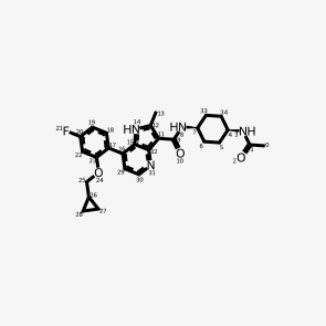 CC(=O)N[C@H]1CC[C@@H](NC(=O)c2c(C)[nH]c3c(-c4ccc(F)cc4OCC4CC4)ccnc23)CC1